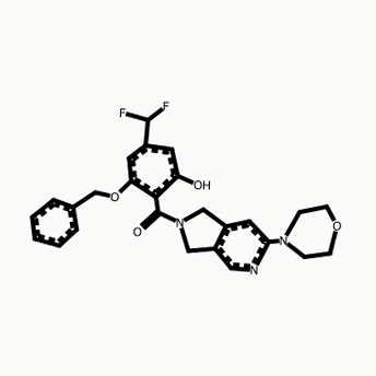 O=C(c1c(O)cc(C(F)F)cc1OCc1ccccc1)N1Cc2cnc(N3CCOCC3)cc2C1